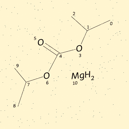 CC(C)OC(=O)OC(C)C.[MgH2]